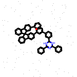 c1ccc(C2=NC(c3ccccc3)NC(c3cccc(-c4cccc(-c5ccc6c(c5)C5(c7ccccc7-c7ccc(-c8ccccc8)cc75)c5ccccc5-6)c4)c3)N2)cc1